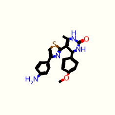 COc1ccc(C2NC(=O)NC(C)=C2c2nc(-c3ccc(N)cc3)cs2)cc1